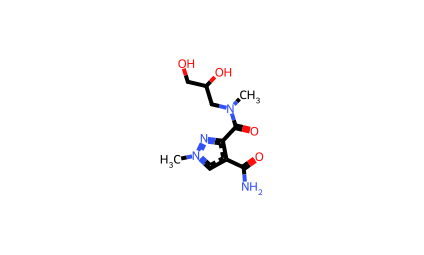 CN(CC(O)CO)C(=O)c1nn(C)cc1C(N)=O